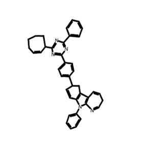 C1=Cc2c3c(n(-c4ccccc4)c2N=CC1)C=CC(c1ccc(-c2nc(-c4ccccc4)nc(C4C=CCCCC4)n2)cc1)C3